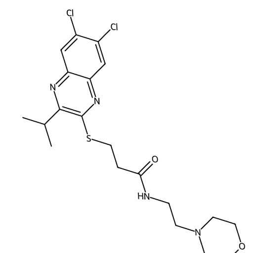 CC(C)c1nc2cc(Cl)c(Cl)cc2nc1SCCC(=O)NCCN1CCOCC1